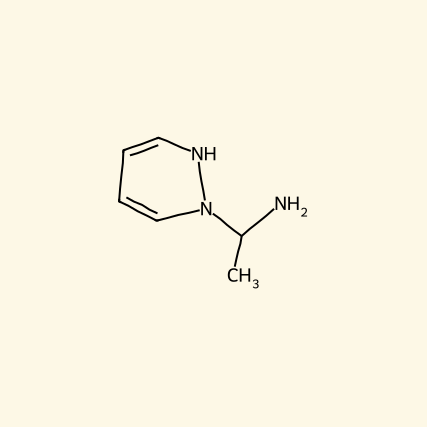 CC(N)N1C=CC=CN1